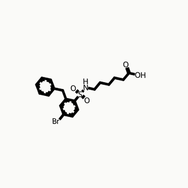 O=C(O)CCCCCNS(=O)(=O)c1ccc(Br)cc1Cc1ccccc1